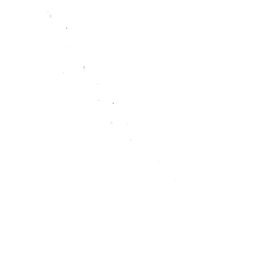 CCCCC/C=C/C/C=C/C/C=C/C/C=C/CCCC(=O)N[C@@H](COP(=O)(O)O)C(=O)O